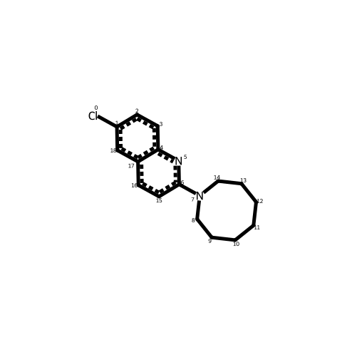 Clc1ccc2nc(N3CCCCCCC3)ccc2c1